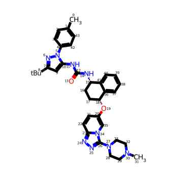 Cc1ccc(-n2nc(C(C)(C)C)cc2NC(=O)N[C@H]2CC[C@@H](Oc3ccc4nnc(N5CCN(C)CC5)n4c3)c3ccccc32)cc1